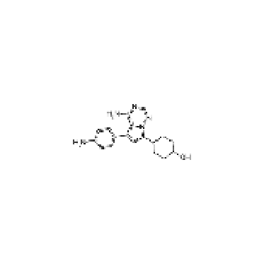 Nc1ccc(-c2cc(C3CCC(O)CC3)n3ncnc(N)c23)cc1